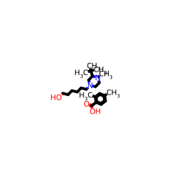 CN1CCN(CCCCCCO)CC1C(C)(C)C.Cc1ccc(C(=O)O)c(C)c1